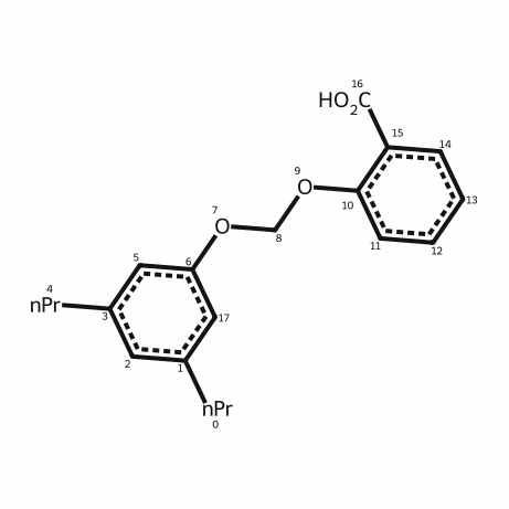 CCCc1cc(CCC)cc(OCOc2ccccc2C(=O)O)c1